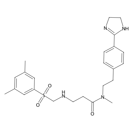 Cc1cc(C)cc(S(=O)(=O)CNCCC(=O)N(C)CCc2ccc(C3=NCCN3)cc2)c1